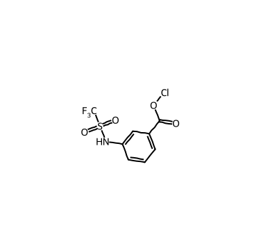 O=C(OCl)c1cccc(NS(=O)(=O)C(F)(F)F)c1